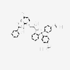 COc1ccc(C(OC[C@H](O)Cn2ccc(=O)nc2NC(=O)c2ccccc2)(c2ccccc2)c2ccc(OC)cc2)cc1